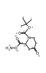 CC(C)(C)OC(=O)N1CCC(=O)CC1C(=O)ON